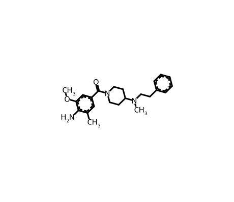 COc1cc(C(=O)N2CCC(N(C)CCc3ccccc3)CC2)cc(C)c1N